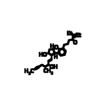 CC#CC[C@@H](C)[C@H](O)/C=C/[C@@H]1[C@H]2c3cccc(CCCC(=O)N(CC)CC)c3O[C@H]2C[C@H]1O